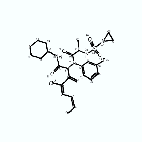 C=C(/C(Cl)=C\C=C/C)[C@@H](C(=O)NC1CCCCC1)N(C(=O)[C@@H](C)NS(=O)(=O)N1CC1)c1cccc(F)c1